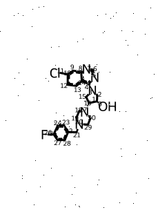 O[C@@H]1CN(c2ncnc3cc(Cl)ccc23)C[C@H]1N1CCN(Cc2ccc(F)cc2)CC1